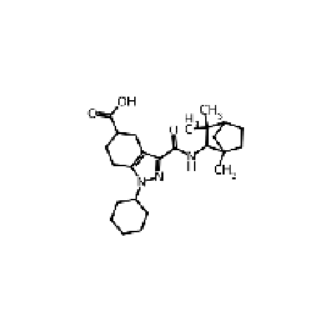 CC12CCC(C1)C(C)(C)C2NC(=O)c1nn(C2CCCCC2)c2c1CC(C(=O)O)CC2